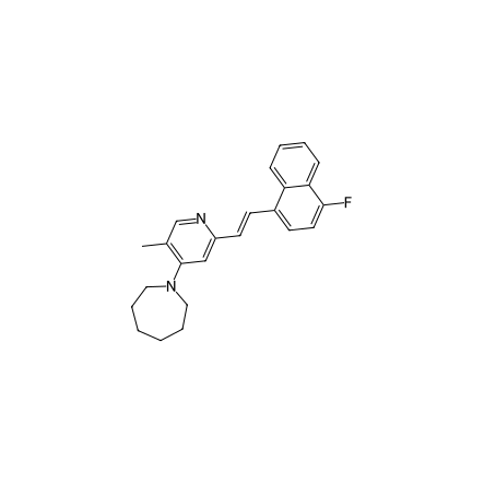 Cc1cnc(C=Cc2ccc(F)c3ccccc23)cc1N1CCCCCC1